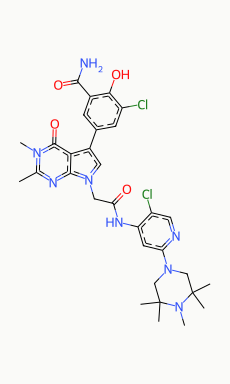 Cc1nc2c(c(-c3cc(Cl)c(O)c(C(N)=O)c3)cn2CC(=O)Nc2cc(N3CC(C)(C)N(C)C(C)(C)C3)ncc2Cl)c(=O)n1C